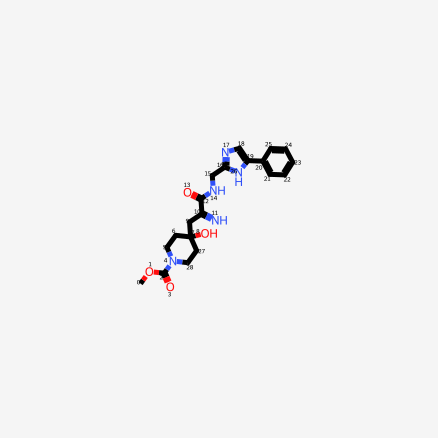 COC(=O)N1CCC(O)(CC(=N)C(=O)NCc2ncc(-c3ccccc3)[nH]2)CC1